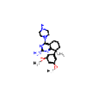 COc1cc(OC)cc(C2(C)CCCc3c(N4CCNCC4)nc(N)nc32)c1